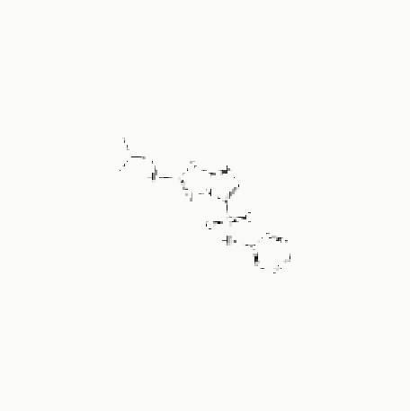 CC(C)CNc1nn2c(S(=O)(=O)Nc3ccccc3)cnc2s1